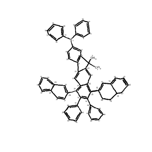 CC1(C)c2cc(N(c3ccccc3)c3ccccc3)ccc2-c2cc3c(-c4ccc5ccccc5c4)c(-c4ccccc4)c(-c4ccccc4)c(C4=CC5=CC=CCC5CC4)c3cc21